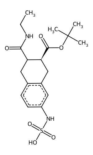 CCNC(=O)C1Cc2ccc(NS(=O)(=O)O)cc2C[C@@H]1C(=O)OC(C)(C)C